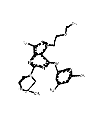 CCOCCn1nc(C)c2nc(N3CCN[C@H](C)C3)nc(Nc3cc(C)cc(C)n3)c21